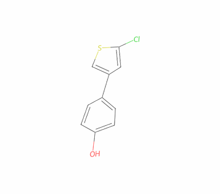 Oc1ccc(-c2csc(Cl)c2)cc1